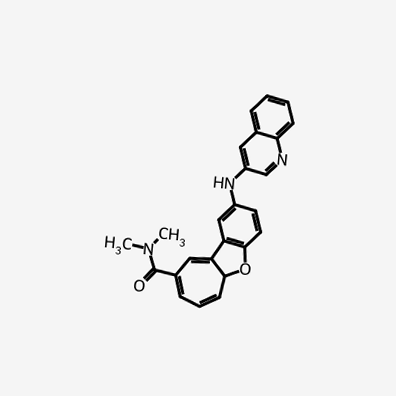 CN(C)C(=O)C1=CC=CC2Oc3ccc(Nc4cnc5ccccc5c4)cc3C2=C1